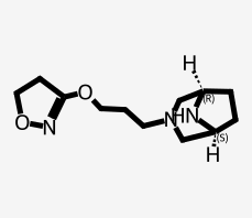 C(COC1=NOCC1)CN1C[C@H]2CC[C@@H](C1)N2